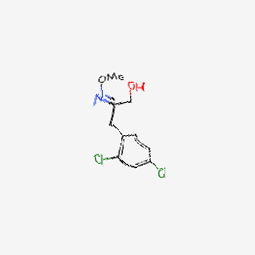 CO/N=C(\CO)Cc1ccc(Cl)cc1Cl